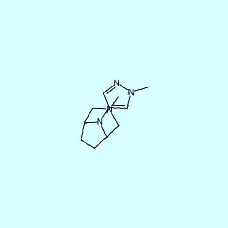 CN1CC2CCC(C1)N2c1cnn(C)c1